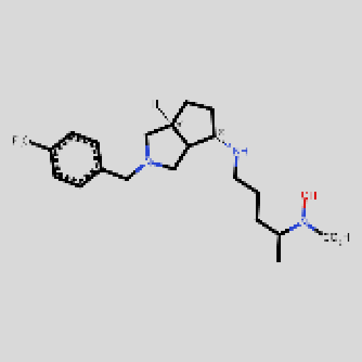 CC(CCCN[C@H]1CC[C@@H]2CN(Cc3ccc(C(F)(F)F)cc3)CC21)N(O)C(=O)O